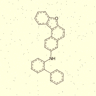 c1ccc(-c2ccccc2Nc2ccc3c(ccc4oc5ccccc5c43)c2)cc1